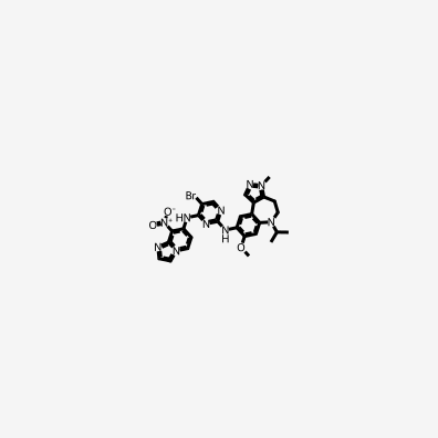 COc1cc2c(cc1Nc1ncc(Br)c(Nc3ccn4ccnc4c3[N+](=O)[O-])n1)-c1cnn(C)c1CCN2C(C)C